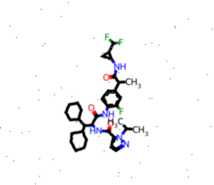 CC(C(=O)NC1CC1C(F)F)c1ccc(NC(=O)C(NC(=O)c2ccnn2C(C)C)C(C2CCCCC2)C2CCCCC2)c(F)c1